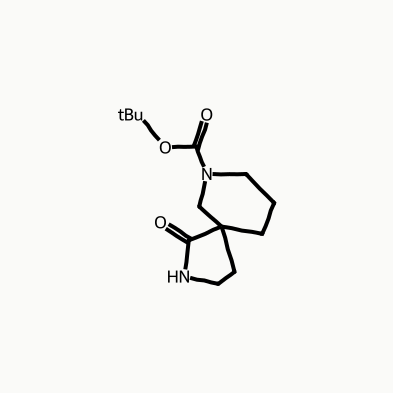 CC(C)(C)OC(=O)N1CCCC2(CCNC2=O)C1